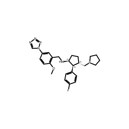 COc1ccc(-n2cnnn2)cc1CN[C@H]1CC[C@H](CN2CCCC2)[C@H]1c1ccc(F)cc1